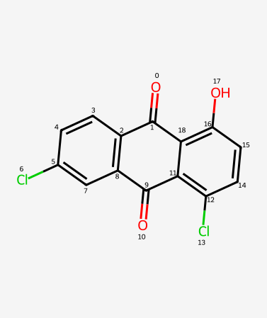 O=C1c2ccc(Cl)cc2C(=O)c2c(Cl)ccc(O)c21